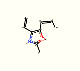 C=Cc1nc(C)oc1/C=C\C